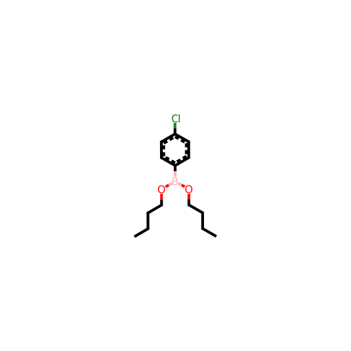 CCCCOB(OCCCC)c1ccc(Cl)cc1